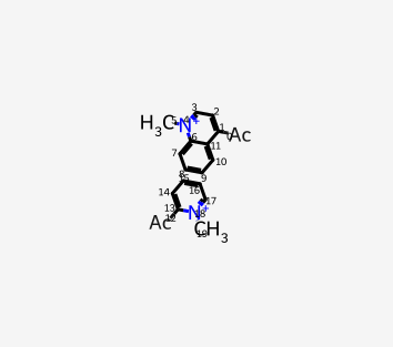 CC(=O)c1cc[n+](C)c2ccccc12.CC(=O)c1cccc[n+]1C